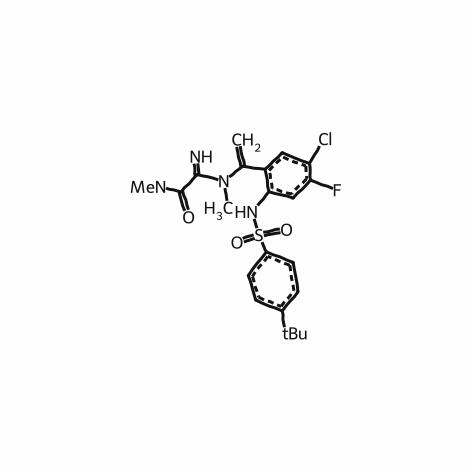 C=C(c1cc(Cl)c(F)cc1NS(=O)(=O)c1ccc(C(C)(C)C)cc1)N(C)C(=N)C(=O)NC